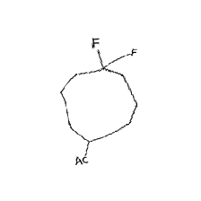 CC(=O)C1CCCC(F)(F)CCC1